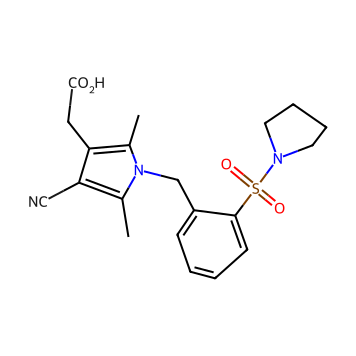 Cc1c(C#N)c(CC(=O)O)c(C)n1Cc1ccccc1S(=O)(=O)N1CCCC1